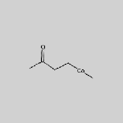 [CH3][Co][CH2]CC(C)=O